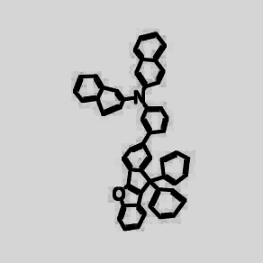 c1ccc(C2(c3ccccc3)c3cc(-c4cccc(N(c5ccc6ccccc6c5)c5ccc6ccccc6c5)c4)ccc3-c3oc4ccccc4c32)cc1